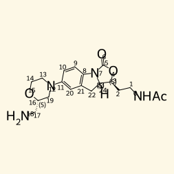 CC(=O)NCC[C@@H]1OC(=O)N2c3ccc(N4CCO[C@@H](CN)C4)cc3C[C@@H]12